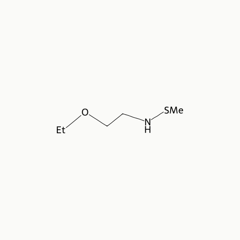 CCOCCNSC